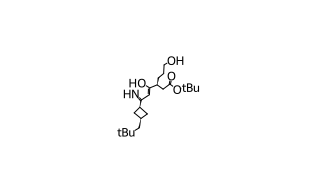 CC(C)(C)C[C@H]1C[C@@H](C(=N)/C=C(\O)[C@@H](CCCO)CC(=O)OC(C)(C)C)C1